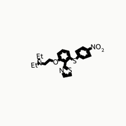 CCN(CC)CCOc1cccc(Sc2ccc([N+](=O)[O-])cc2)c1-c1nccs1